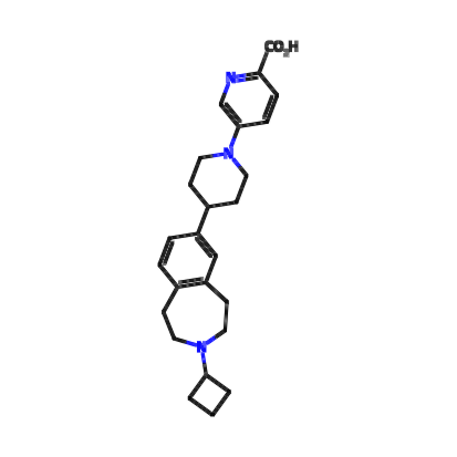 O=C(O)c1ccc(N2CCC(c3ccc4c(c3)CCN(C3CCC3)CC4)CC2)cn1